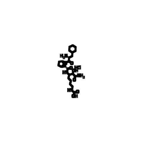 Cl.NC(=O)C(O)C(CCCCNC(=O)O)NC(=O)[C@@H]1C2CCC(C2)N1C(=O)[C@H](N)CC1CCCCC1